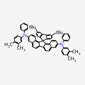 Cc1ccc(N(c2ccccc2)c2ccc3c4c(ccc3c2)-c2ccc3cc(N(c5ccccc5)c5ccc(C)c(C)c5)ccc3c2C42c3ccc(C(C)(C)C)cc3-c3cc(C(C)(C)C)ccc32)cc1C